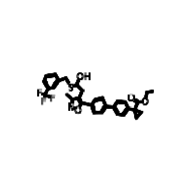 CCOC(=O)C1(c2ccc(-c3ccc(-c4onc(C)c4CC(O)SCc4cccc(C(F)(F)F)c4)cc3)cc2)CC1